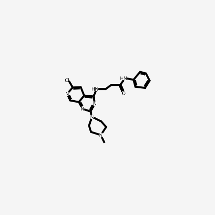 CN1CCN(c2nc(NCCC(=O)Nc3ccccc3)c3cc(Cl)ncc3n2)CC1